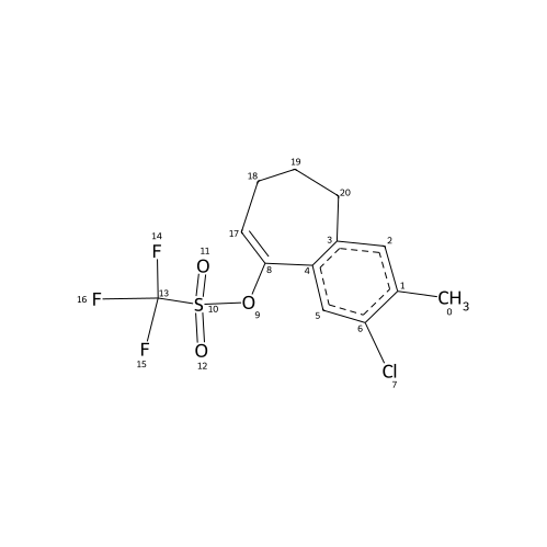 Cc1cc2c(cc1Cl)C(OS(=O)(=O)C(F)(F)F)=CCCC2